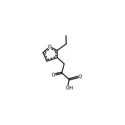 CCc1occc1CC(=O)C(=O)O